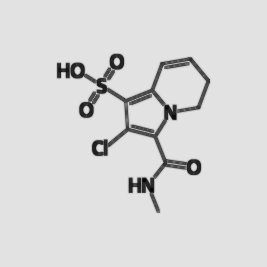 CNC(=O)c1c(Cl)c(S(=O)(=O)O)c2n1CCC=C2